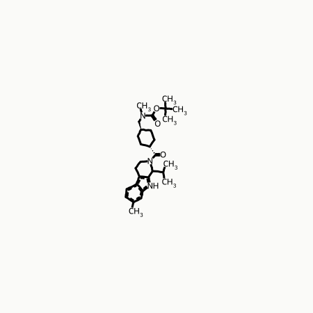 Cc1ccc2c3c([nH]c2c1)C(C(C)C)N(C(=O)[C@H]1CC[C@H](CN(C)C(=O)OC(C)(C)C)CC1)CC3